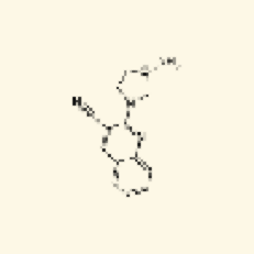 N#Cc1cc2ccccc2nc1N1CC[C@H](N)C1